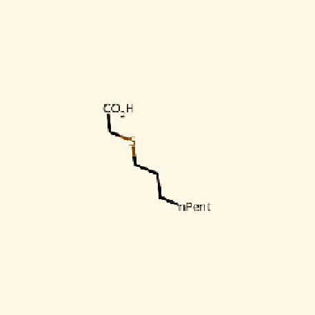 CCCCCCCCSCC(=O)O